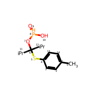 Cc1ccc(SC(O[PH](=O)O)(C(C)C)C(C)C)cc1